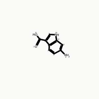 Nc1ccc2c(C(=O)O)c[nH]c2c1